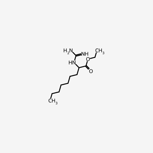 CCCCCCCC(NC(=N)N)C(=O)OCC